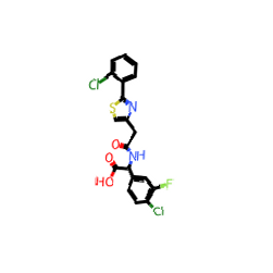 O=C(Cc1csc(-c2ccccc2Cl)n1)NC(C(=O)O)c1ccc(Cl)c(F)c1